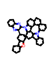 c1ccc2nc(-n3c4ccc5ccc6cccc7c6c5c4c4c3ccc3c5ccccc5n7c34)c(-c3ccc4oc5ccccc5c4c3)nc2c1